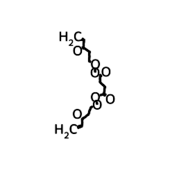 C=CC(=O)CCOOC(=O)CCC(=O)OOCCC(=O)C=C